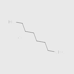 O=CCCCC[C@H](O)CO